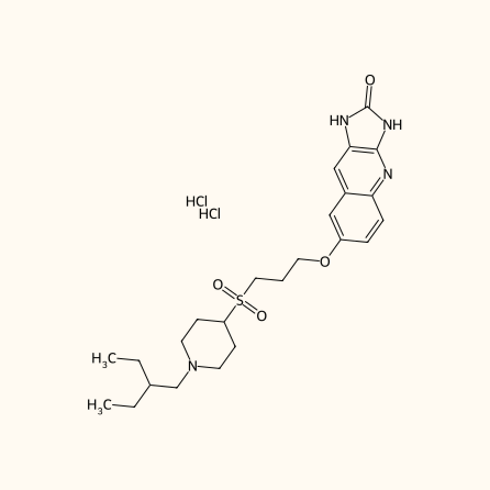 CCC(CC)CN1CCC(S(=O)(=O)CCCOc2ccc3nc4[nH]c(=O)[nH]c4cc3c2)CC1.Cl.Cl